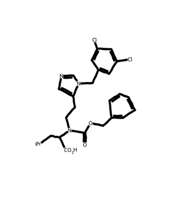 CC(C)CC(C(=O)O)N(CCc1cncn1Cc1cc(Cl)cc(Cl)c1)C(=O)OCc1ccccc1